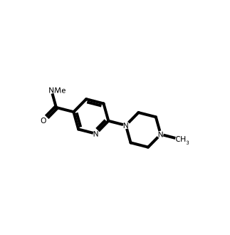 CNC(=O)c1ccc(N2CCN(C)CC2)nc1